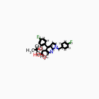 Cc1nc2c(ccn2Cc2ccc(F)cc2)c(-c2ccc(F)cc2)c1[C@H](OC(C)(C)C)C(=O)O